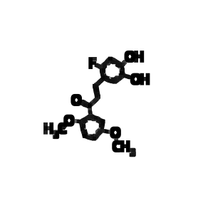 COc1ccc(OC)c(C(=O)C=Cc2cc(O)c(O)cc2F)c1